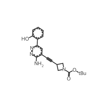 CC(C)(C)OC(=O)N1CC(C#Cc2cc(-c3ccccc3O)nnc2N)C1